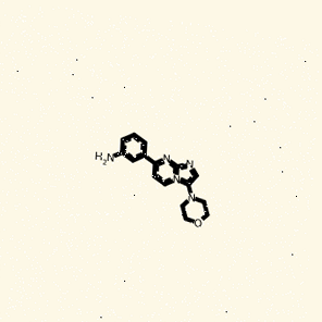 Nc1cccc(-c2ccn3c(N4CCOCC4)cnc3n2)c1